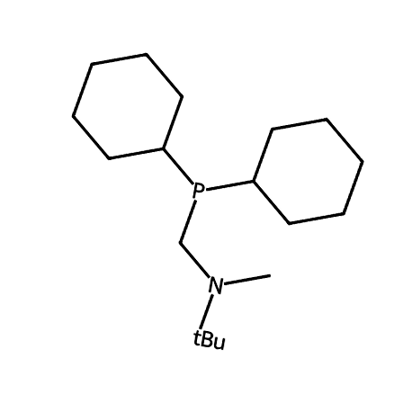 CN(CP(C1CCCCC1)C1CCCCC1)C(C)(C)C